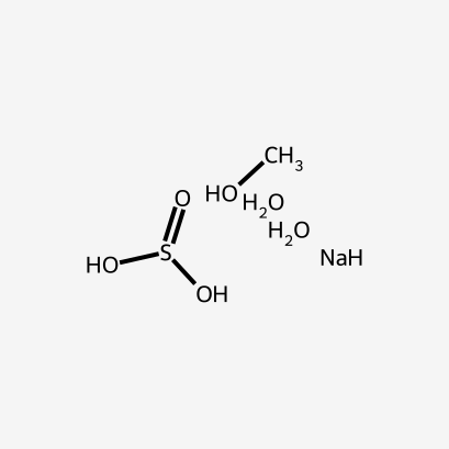 CO.O.O.O=S(O)O.[NaH]